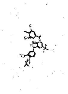 COc1cc(-c2nnc3n(C(C)c4cc(F)c(C)c(F)c4)cc(C(C)(F)F)cc2-3)ccc1-n1cnc(C)c1